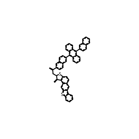 C=C(CC1Sc2ccc3cc4c(cc3c2C1=C)sc1ccccc14)c1ccc2cc(-c3c4ccccc4c(-c4ccc5ccccc5c4)c4ccccc34)ccc2c1